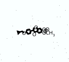 CS(=O)(=O)Oc1ccc2c(=O)c(-c3ccc(OCC4CC4)cc3)coc2c1